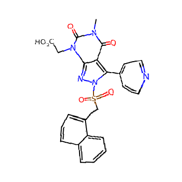 Cn1c(=O)c2c(-c3ccncc3)n(S(=O)(=O)Cc3cccc4ccccc34)nc2n(CC(=O)O)c1=O